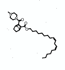 CCCCC/C=C\C/C=C\CCCCCCCCOC(=O)C1C2CCC(O2)C1C(=O)N1CCN(C)CC1